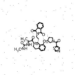 CNC(=O)N[C@@H](C)C(=O)N1CCc2cccc(O[C@H]3CCN(C(=O)c4cncs4)C3)c2[C@H]1CCN1C(=O)c2ccccc2C1=O